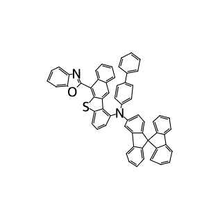 c1ccc(-c2ccc(N(c3ccc4c(c3)-c3ccccc3C43c4ccccc4-c4ccccc43)c3cccc4sc5c(-c6nc7ccccc7o6)c6ccccc6cc5c34)cc2)cc1